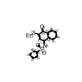 CCSC1=C/C(=N\S(=O)(=O)c2cccs2)c2ccccc2C1=O